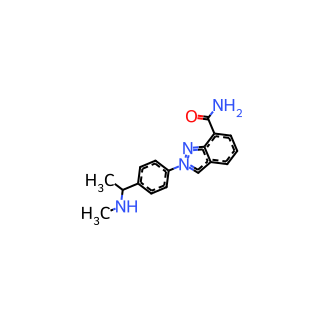 CNC(C)c1ccc(-n2cc3cccc(C(N)=O)c3n2)cc1